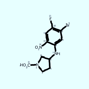 O=C(O)N1CCC(Nc2cc(Br)c(F)cc2[N+](=O)[O-])C1